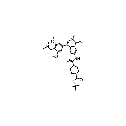 COc1cc(-c2cn(C)c(=O)c3cc(NC(=O)C4CCN(C(=O)OC(C)(C)C)CC4)sc23)cc(OC)c1CN(C)C